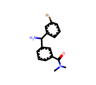 CN(C)C(=O)c1cccc(C(N)c2cccc(Br)c2)c1